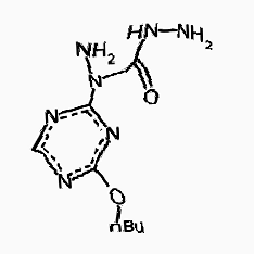 CCCCOc1ncnc(N(N)C(=O)NN)n1